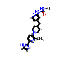 CCNC(=O)Nc1cc(CC2CCN(c3ccc(-c4ncc[nH]4)nc3C)CC2)ccn1